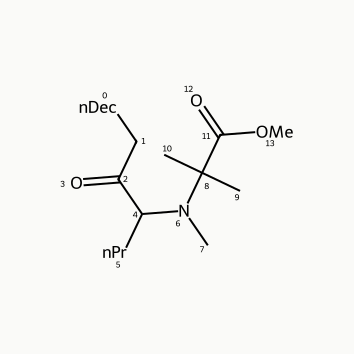 CCCCCCCCCCCC(=O)C(CCC)N(C)C(C)(C)C(=O)OC